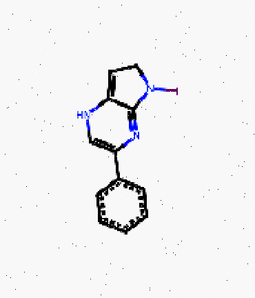 IN1CC=C2NC=C(c3ccccc3)N=C21